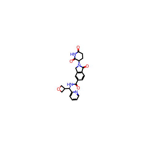 O=C1CCC(N2Cc3cc(C(=O)N[C@@H](c4ccccn4)C4COC4)ccc3C2=O)C(=O)N1